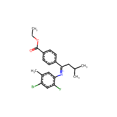 CCOC(=O)c1ccc(/C(CC(C)C)=N\c2cc(C)c(Br)cc2F)cc1